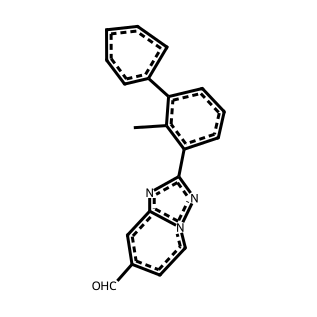 Cc1c(-c2ccccc2)cccc1-c1nc2cc(C=O)ccn2n1